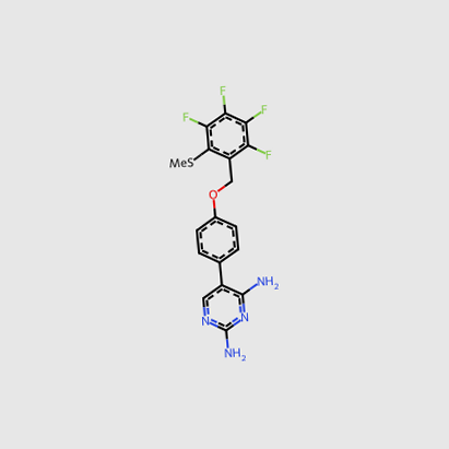 CSc1c(F)c(F)c(F)c(F)c1COc1ccc(-c2cnc(N)nc2N)cc1